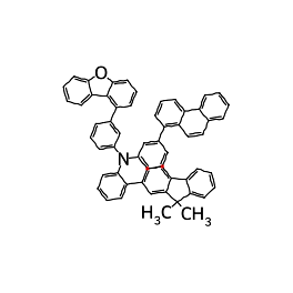 CC1(C)c2ccccc2-c2ccc(-c3ccccc3N(c3cccc(-c4cccc5c4ccc4ccccc45)c3)c3cccc(-c4cccc5oc6ccccc6c45)c3)cc21